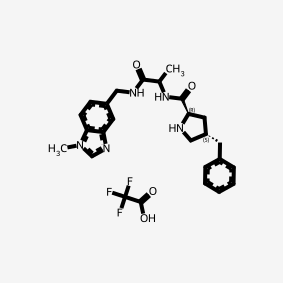 CC(NC(=O)[C@H]1C[C@H](Cc2ccccc2)CN1)C(=O)NCc1ccc2c(c1)ncn2C.O=C(O)C(F)(F)F